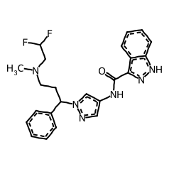 CN(CCC(c1ccccc1)n1cc(NC(=O)c2n[nH]c3ccccc23)cn1)CC(F)F